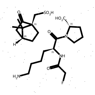 CC1(C)[C@@H]2CC[C@@]1(CS(=O)(=O)O)C(=O)C2.NCCCC[C@H](NC(=O)CF)C(=O)N1CCC[C@H]1C(=O)O